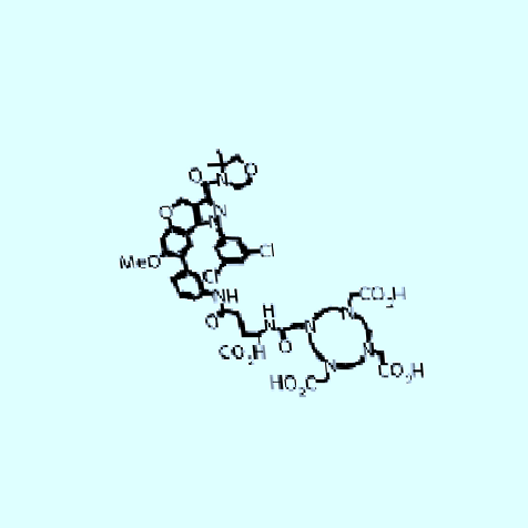 COc1cc2c(cc1-c1cccc(NC(=O)CC[C@@H](NC(=O)CN3CCN(CC(=O)O)CCN(CC(=O)O)CCN(CC(=O)O)CC3)C(=O)O)c1)-c1c(c(C(=O)N3CCOCC3(C)C)nn1-c1cc(Cl)cc(Cl)c1)CO2